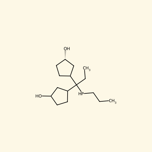 CCCPC(CC)(C1CCC(O)C1)C1CC[C@H](O)C1